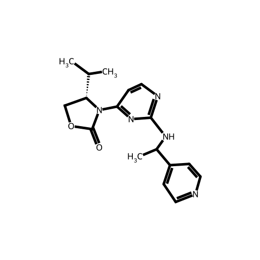 CC(Nc1nccc(N2C(=O)OC[C@@H]2C(C)C)n1)c1ccncc1